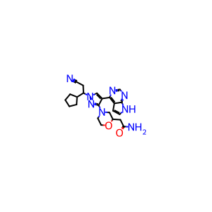 N#CCC(C1CCCC1)n1cc(-c2ncnc3[nH]ccc23)c(N2CCOC(CC(N)=O)C2)n1